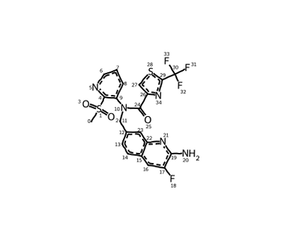 CS(=O)(=O)c1ncccc1N(Cc1ccc2cc(F)c(N)nc2c1)C(=O)c1csc(C(F)(F)F)n1